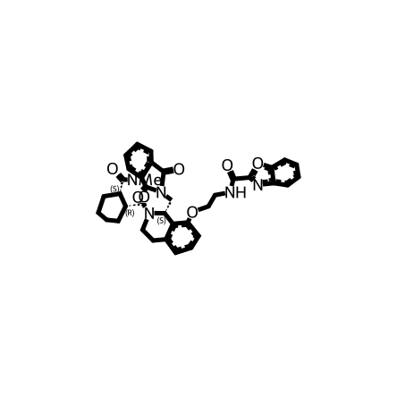 CNC(=O)[C@H]1CCCC[C@H]1C(=O)N1CCc2cccc(OCCNC(=O)c3nc4ccccc4o3)c2[C@H]1CN1C(=O)c2ccccc2C1=O